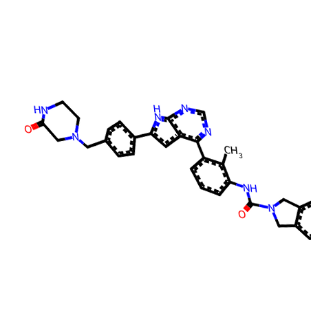 Cc1c(NC(=O)N2Cc3ccccc3C2)cccc1-c1ncnc2[nH]c(-c3ccc(CN4CCNC(=O)C4)cc3)cc12